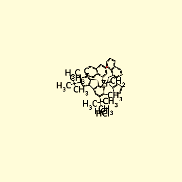 Cl.Cl.[CH2]=[Zr]([CH2]c1cccc2ccccc12)([CH2]c1cccc2ccccc12)([C]1=CC=CC1)[c]1c(C)c(C(C)(C)C)cc2c1Cc1cc(C)c(C(C)(C)C)cc1-2